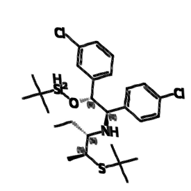 CC[C@H](N[C@H](c1ccc(Cl)cc1)[C@H](O[SiH2]C(C)(C)C)c1cccc(Cl)c1)[C@H](C)SC(C)(C)C